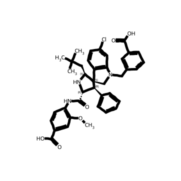 COc1cc(C(=O)O)ccc1NC(=O)[C@@H]1N[C@@H](CC(C)(C)C)[C@@]2(CN(Cc3cccc(C(=O)O)c3)c3cc(Cl)ccc32)[C@H]1c1ccccc1